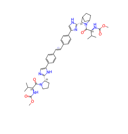 COC(=O)N[C@H](C(=O)N1CCC[C@H]1c1ncc(-c2ccc(/C=C/c3ccc(-c4c[nH]c([C@@H]5C6CCC(C6)N5C(=O)[C@@H](NC(=O)OC)C(C)C)n4)cc3)cc2)[nH]1)C(C)C